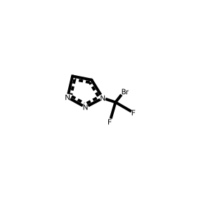 FC(F)(Br)n1ccnn1